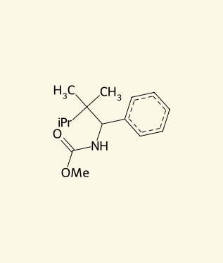 COC(=O)NC(c1ccccc1)C(C)(C)C(C)C